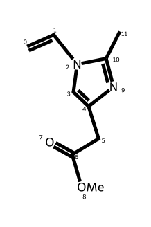 C=Cn1cc(CC(=O)OC)nc1C